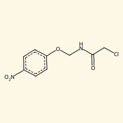 O=C(CCl)NCOc1ccc([N+](=O)[O-])cc1